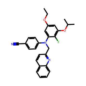 CCOc1cc(OC(C)C)c(F)c(N(Cc2ccc3ccccc3n2)c2ccc(C#N)cc2)c1